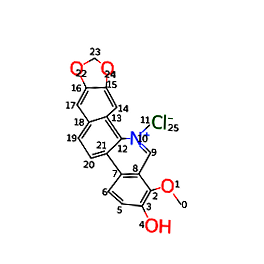 COc1c(O)ccc2c1c[n+](C)c1c3cc4c(cc3ccc21)OCO4.[Cl-]